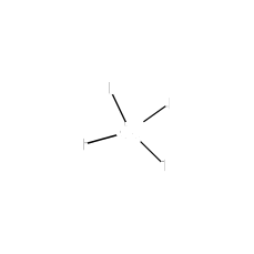 [I][Cd]([I])([I])[I]